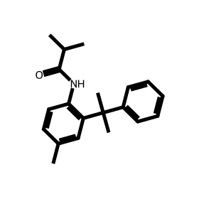 Cc1ccc(NC(=O)C(C)C)c(C(C)(C)c2ccccc2)c1